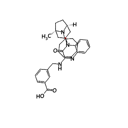 C[C@@]12CC[C@@H](C[C@@H](n3c(=O)c(NCc4cccc(C(=O)O)c4)nc4ccccc43)C1)N2C1CCCCCCC1